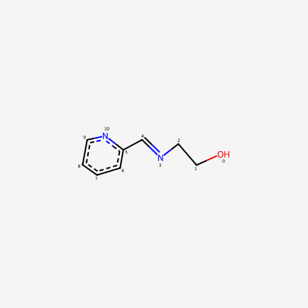 OCC/N=C/c1ccccn1